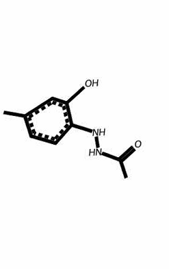 CC(=O)NNc1ccc(C)cc1O